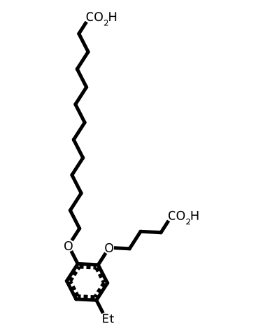 CCc1ccc(OCCCCCCCCCCCCC(=O)O)c(OCCCC(=O)O)c1